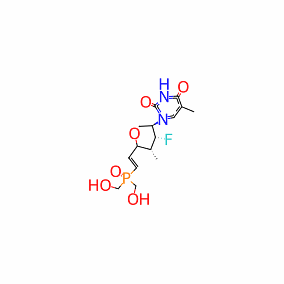 Cc1cn([C@@H]2COC(/C=C/P(=O)(CO)CO)[C@@H](C)[C@H]2F)c(=O)[nH]c1=O